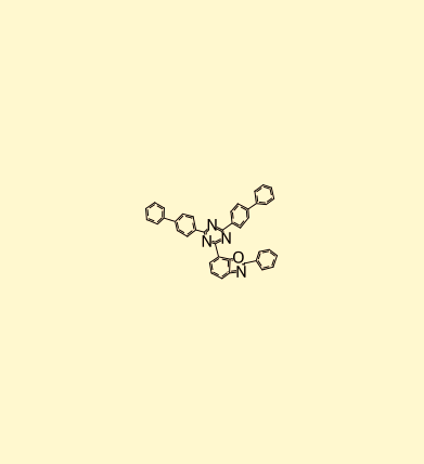 c1ccc(-c2ccc(-c3nc(-c4ccc(-c5ccccc5)cc4)nc(-c4cccc5nc(-c6ccccc6)oc45)n3)cc2)cc1